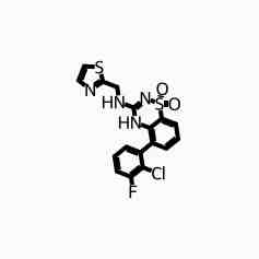 O=S1(=O)N=C(NCc2nccs2)Nc2c(-c3cccc(F)c3Cl)cccc21